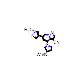 CNC1CCN(c2cc(-c3cnn(C)c3)cn3ncc(C#N)c23)C1